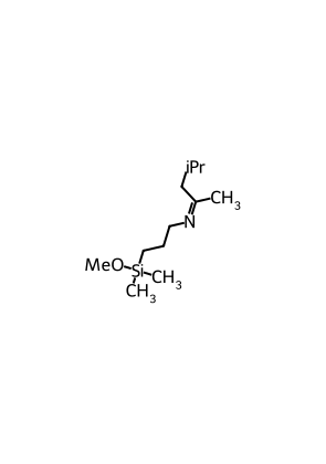 CO[Si](C)(C)CCCN=C(C)CC(C)C